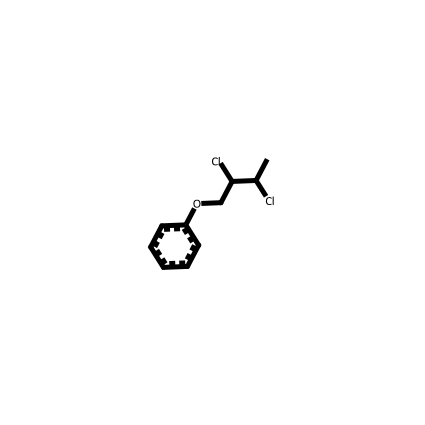 CC(Cl)C(Cl)COc1ccccc1